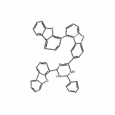 c1ccc(C2NC(c3ccc4sc5cccc(-c6cccc7c6sc6ccccc67)c5c4c3)=NC(c3cccc4c3oc3ccccc34)N2)cc1